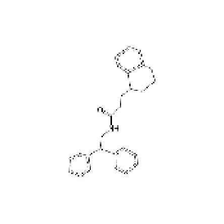 O=C(CCC1CCCc2ccccc21)NCC(c1ccccc1)c1ccccc1